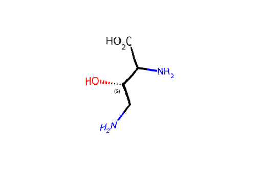 NC[C@H](O)C(N)C(=O)O